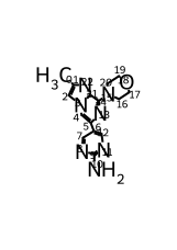 Cc1cn2cc(-c3cnc(N)nc3)nc(N3CCOCC3)c2n1